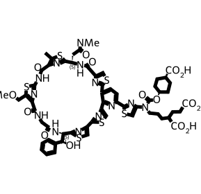 CNC(=O)C[C@@H]1NC(=O)c2csc(n2)-c2ccc(-c3nc(N(CCCC(CCC(=O)O)C(=O)O)C(=O)O[C@H]4CC[C@H](C(=O)O)CC4)cs3)nc2-c2csc(n2)-c2csc(n2)[C@H]([C@@H](O)c2ccccc2)NC(=O)CNC(=O)c2nc(sc2COC)NC(=O)c2nc1sc2C